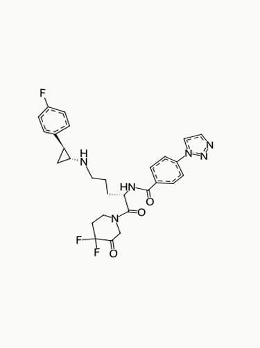 O=C(N[C@@H](CCCN[C@@H]1C[C@H]1c1ccc(F)cc1)C(=O)N1CCC(F)(F)C(=O)C1)c1ccc(-n2ccnn2)cc1